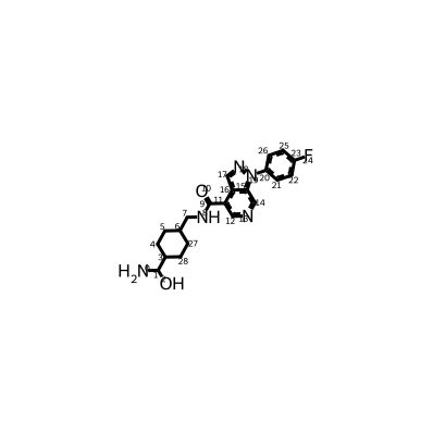 NC(O)C1CCC(CNC(=O)c2cncc3c2cnn3-c2ccc(F)cc2)CC1